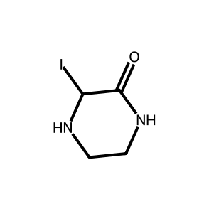 O=C1NCCNC1I